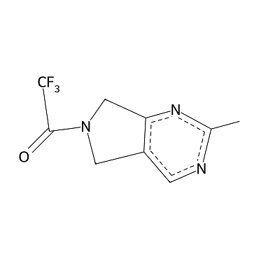 Cc1ncc2c(n1)CN(C(=O)C(F)(F)F)C2